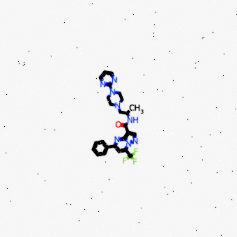 CC(CN1CCN(c2ncccn2)CC1)NC(=O)c1cnn2c(C(F)(F)F)cc(-c3ccccc3)nc12